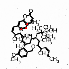 CC/C=C\C(C)[C@H](OCc1ccc(OC)cc1)[C@@H](C)[C@H](CC(C)(C)[Si](C)(C)O)[C@@H](C)C/C(C)=C\[C@H](C)[C@@H](OCOC)C(C)/C=C\c1ccc2ccc(=O)oc2c1